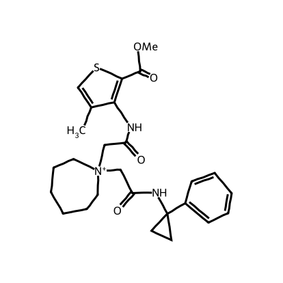 COC(=O)c1scc(C)c1NC(=O)C[N+]1(CC(=O)NC2(c3ccccc3)CC2)CCCCCC1